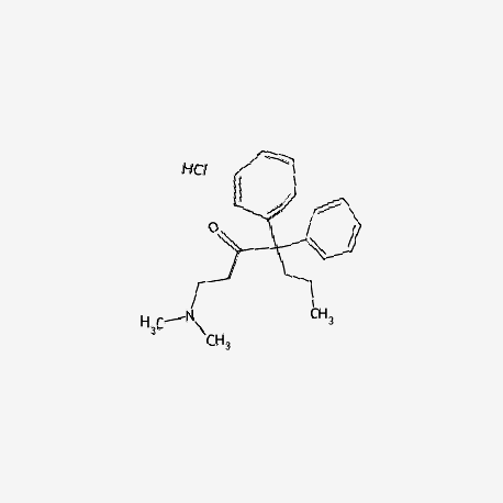 CCCC(C(=O)CCN(C)C)(c1ccccc1)c1ccccc1.Cl